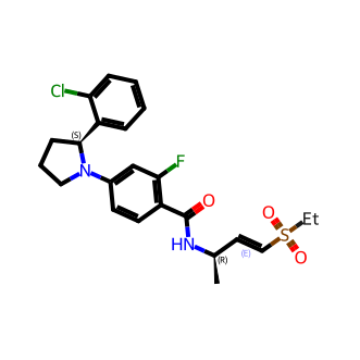 CCS(=O)(=O)/C=C/[C@@H](C)NC(=O)c1ccc(N2CCC[C@H]2c2ccccc2Cl)cc1F